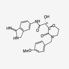 COc1ccc(CN2CCO[C@H]([C@@H](O)C(=O)Nc3ccc4c(c3)CNC4=N)C2=O)cc1